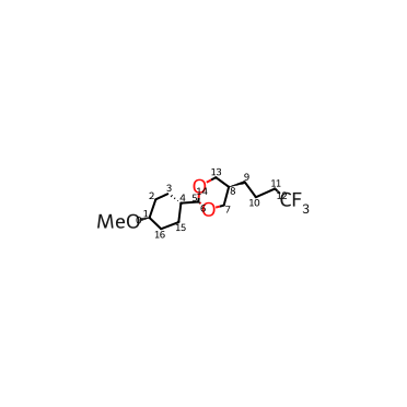 CO[C@H]1CC[C@H]([C@H]2OC[C@H](CCCC(F)(F)F)CO2)CC1